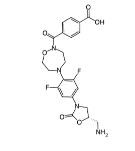 NC[C@H]1CN(c2cc(F)c(N3CCON(C(=O)c4ccc(C(=O)O)cc4)CC3)c(F)c2)C(=O)O1